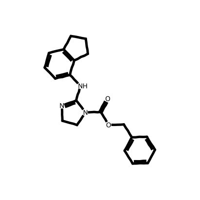 O=C(OCc1ccccc1)N1CCN=C1Nc1cccc2c1CCC2